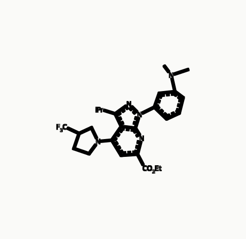 CCOC(=O)c1cc(N2CCC(C(F)(F)F)C2)c2c(C(C)C)nn(-c3cccc(N(C)C)c3)c2n1